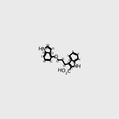 O=C(O)c1[nH]c2ccccc2c1CCCOc1cccc2[nH]ccc12